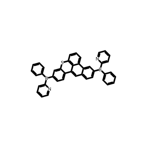 c1ccc(B(c2ccc3c(c2)Sc2cccc4c2c-3cc2ccc(B(c3ccccc3)c3ccccn3)cc24)c2ccccn2)cc1